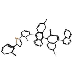 CC1C=CC2=C(C1)C(c1cccc3ccccc13)=CC(C)C2c1c2c(c(C3C=CC=C(C4=CCC(C5=CC=CCC5C)S4)C3C)c3ccccc13)C=CC(C)C2